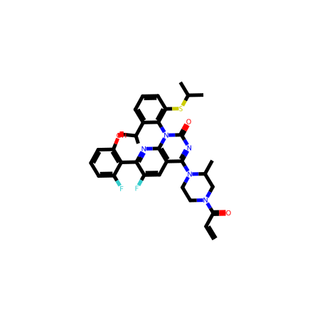 C=CC(=O)N1CCN(c2nc(=O)n(-c3c(SC(C)C)cccc3C(C)C)c3nc(-c4c(O)cccc4F)c(F)cc23)C(C)C1